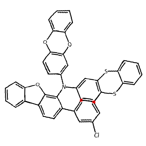 Clc1cccc(-c2ccc3c(oc4ccccc43)c2N(c2ccc3c(c2)Oc2ccccc2O3)c2ccc3c(c2)Sc2ccccc2S3)c1